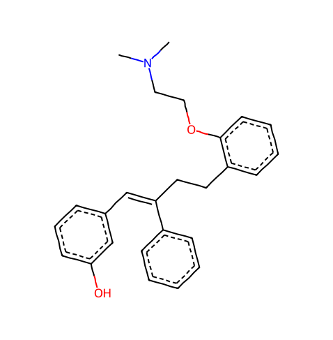 CN(C)CCOc1ccccc1CC/C(=C/c1cccc(O)c1)c1ccccc1